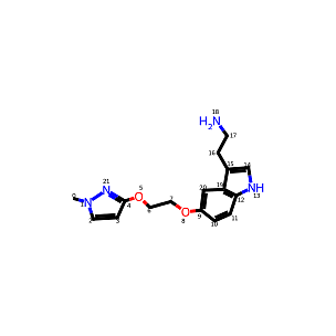 Cn1ccc(OCCOc2ccc3[nH]cc(CCN)c3c2)n1